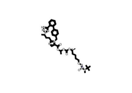 CCCCc1ncc(C(=O)OC(C)OC(=O)O[C@@H](C)CCCCO/N=[N+](\[O-])N(C)C(C)(C)C)n1Cc1ccc(-c2ccccc2-c2nnn[nH]2)cc1